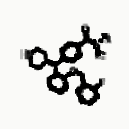 CCN(CC)C(=O)c1ccc(C(=C2CCNCC2)c2ccccc2OCc2ccccc2F)cc1